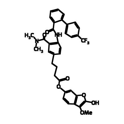 COc1c(O)oc2cc(OC(=O)CCCc3ccc(NC(=O)c4ccccc4-c4ccc(C(F)(F)F)cc4)c(C(=O)N(C)C)c3)ccc12